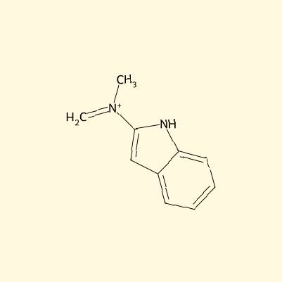 C=[N+](C)c1cc2ccccc2[nH]1